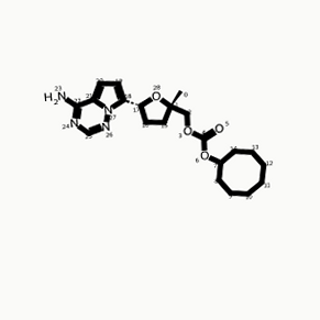 C[C@@]1(COC(=O)OC2CCCCCCC2)CC[C@H](c2ccc3c(N)ncnn23)O1